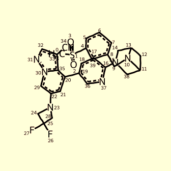 CS(=O)(=O)c1cccc(CN2C3CC2CN(c2ccc(-c4cc(N5CC(F)(F)C5)cn5ncc(C#N)c45)cn2)C3)c1